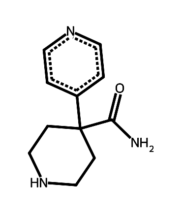 NC(=O)C1(c2ccncc2)CCNCC1